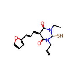 C=CCN1C(=O)/C(=C\C=C\c2ccco2)C(=O)N(CC)C1S